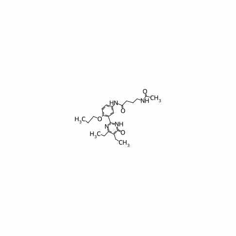 CCCOc1ccc(NC(=O)CCCNC(C)=O)cc1-c1nc(CC)c(CC)c(=O)[nH]1